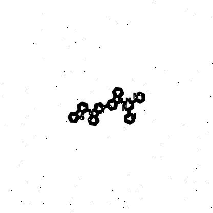 c1ccc(-c2cc(-c3ccccn3)nc(-n3c4ccccc4c4cc(-c5ccc6c(c5)c5ccccc5n6-c5cccc6c5sc5ccccc56)ccc43)n2)nc1